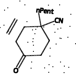 C=C.CCCCCC1(C#N)CCC(=O)CC1